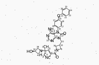 CC(C)(C=C(C#N)C(=O)N1CC(Cn2c(=O)n(-c3ccc(Oc4ccccc4)cc3)c3c(N)ncnc32)C1)N1CC(O)C1